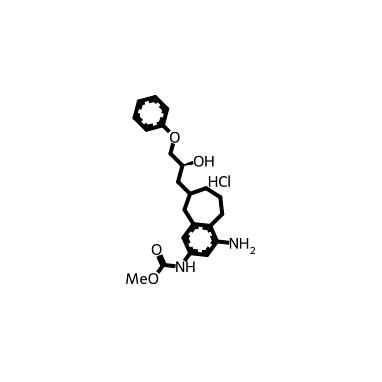 COC(=O)Nc1cc(N)c2c(c1)CC(C[C@H](O)COc1ccccc1)CCC2.Cl